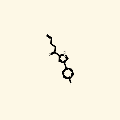 C=CCCC(=O)c1cc(-c2ccc(F)cc2)c[nH]1